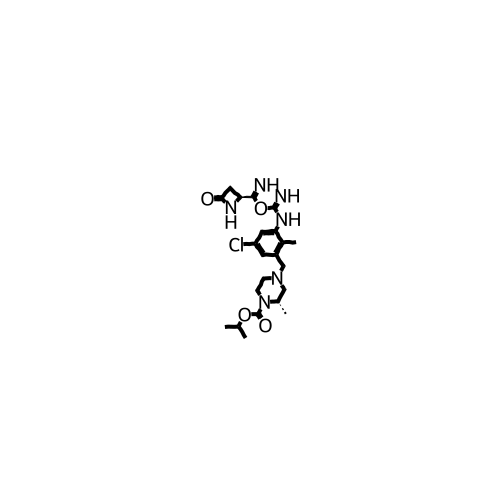 Cc1c(CN2CCN(C(=O)OC(C)C)[C@@H](C)C2)cc(Cl)cc1NC(=N)OC(=N)[C@@H]1CC(=O)N1